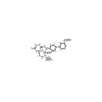 COc1cccc(-c2ccc(C(CN3CCN(C)CC3)C3(O)CCCCC3)cc2)c1.Cl.Cl